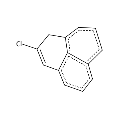 ClC1=Cc2cccc3cccc(c23)C1